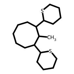 CC1[C](C2CCCCS2)CCCCCC1C1CCCCS1